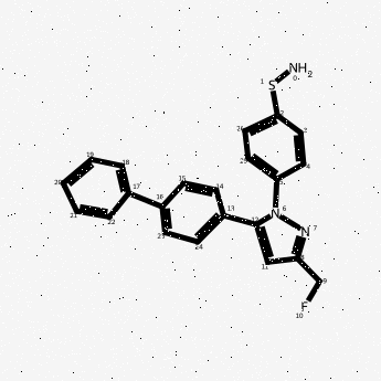 NSc1ccc(-n2nc(CF)cc2-c2ccc(-c3ccccc3)cc2)cc1